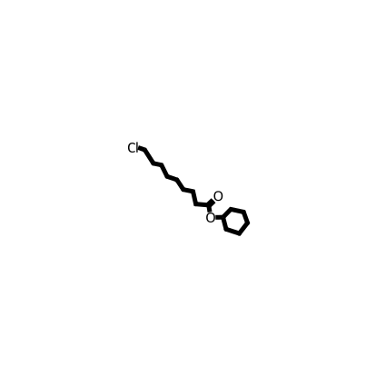 O=C(CCCCCCCCCl)OC1CCCCC1